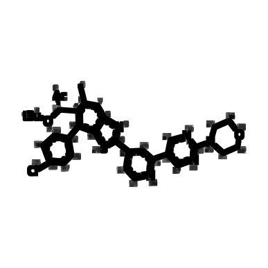 CC(=O)[C@@H](OC(C)(C)C)c1c(C)cc2nc(-c3ccnc(-c4cnc(N5CCOCC5)nc4)c3)sc2c1-c1ccc(Cl)cc1